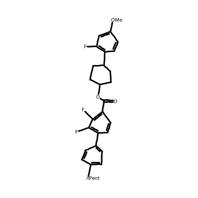 CCCCCc1ccc(-c2ccc(C(=O)OC3CCC(c4ccc(OC)cc4F)CC3)c(F)c2F)cc1